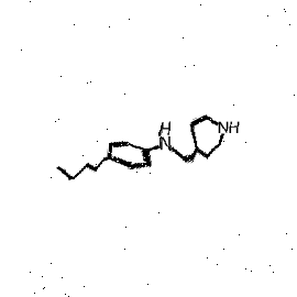 CCCCc1ccc(NCC2CCNCC2)cc1